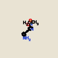 CS(C)(=O)=NC(=O)c1cncc(C#Cc2cccc(N)c2)c1